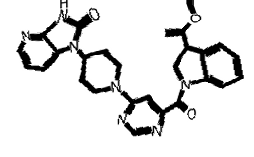 C=C(OC)C1CN(C(=O)c2cc(N3CCC(n4c(=O)[nH]c5ncccc54)CC3)ncn2)c2ccccc21